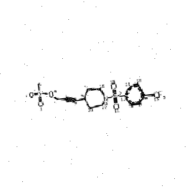 CS(=O)(=O)OCC#CC1CCN(S(=O)(=O)c2ccc(C(F)(F)F)cc2)CC1